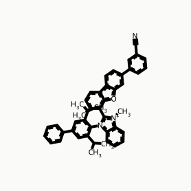 Cc1ccc2c(oc3cc(-c4cccc(C#N)c4)ccc32)c1-c1n(-c2c(C(C)C)cc(-c3ccccc3)cc2C(C)C)c2ccccc2[n+]1C